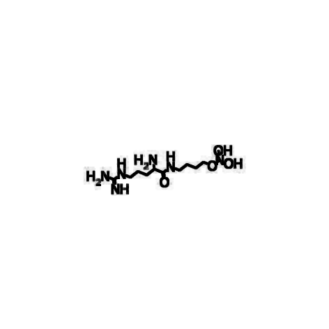 N=C(N)NCCCC(N)C(=O)NCCCCON(O)O